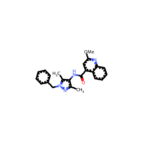 COc1cc(C(=O)Nc2c(C)nn(Cc3ccccc3)c2C)c2ccccc2n1